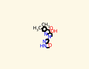 Cc1cc2c(cc1C)C(=O)[C@]1(O)CCN(c3cnc4c(c3)OCCN4)C1=N2